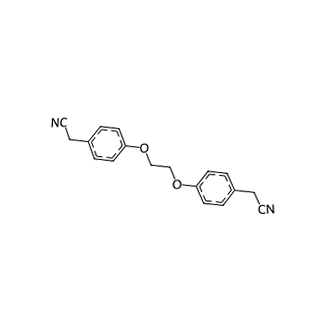 N#CCc1ccc(OCCOc2ccc(CC#N)cc2)cc1